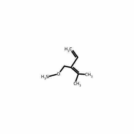 C=CC(CO[SiH3])=C(C)C